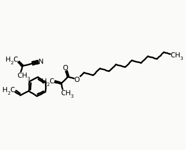 C=C(C)C#N.C=C(C)C(=O)OCCCCCCCCCCCC.C=Cc1ccccc1